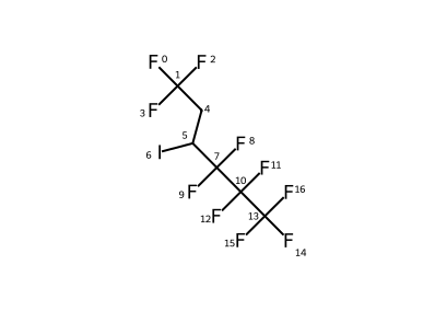 FC(F)(F)CC(I)C(F)(F)C(F)(F)C(F)(F)F